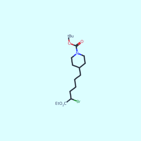 CCOC(=O)C(Br)CCCCC1CCN(C(=O)OC(C)(C)C)CC1